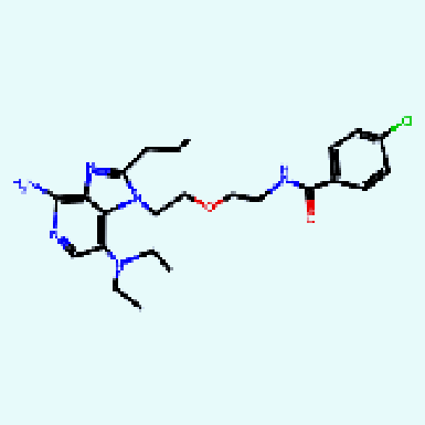 CCCc1nc2c(N)ncc(N(CC)CC)c2n1CCOCCNC(=O)c1ccc(Cl)cc1